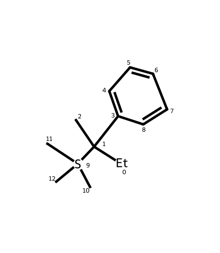 CCC(C)(c1ccccc1)S(C)(C)C